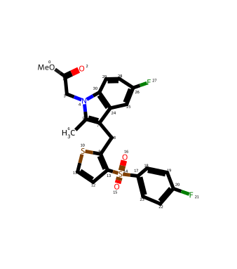 COC(=O)Cn1c(C)c(Cc2sccc2S(=O)(=O)c2ccc(F)cc2)c2cc(F)ccc21